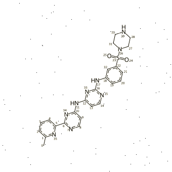 Cc1cccc(-c2nccc(Nc3ccnc(Nc4cccc(S(=O)(=O)N5CCNCC5)c4)n3)n2)n1